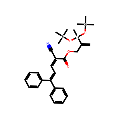 C=C(COC(=O)/C(C#N)=C\C=C(c1ccccc1)c1ccccc1)[Si](C)(O[Si](C)(C)C)O[Si](C)(C)C